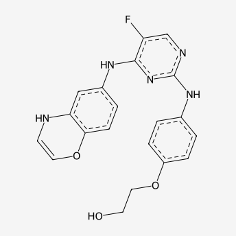 OCCOc1ccc(Nc2ncc(F)c(Nc3ccc4c(c3)NC=CO4)n2)cc1